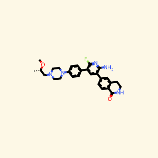 CO[C@@H](C)CN1CCN(c2ccc(-c3cc(-c4ccc5c(c4)CCNC5=O)c(N)nc3F)cc2)CC1